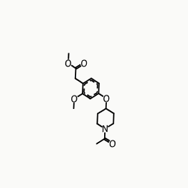 COC(=O)Cc1ccc(OC2CCN(C(C)=O)CC2)cc1OC